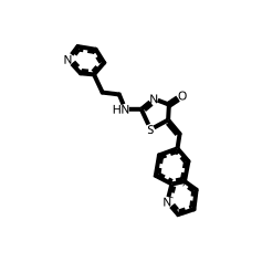 O=C1N=C(NCCc2cccnc2)S/C1=C\c1ccc2ncccc2c1